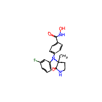 CC1(N(c2ccc(C(=O)NO)cc2)c2cccc(F)c2)CCNC1=O